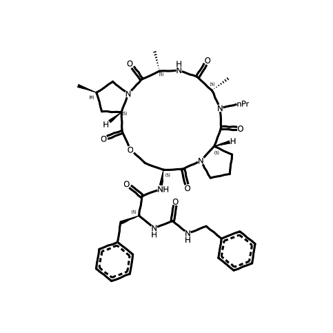 CCCN1C(=O)[C@@H]2CCCN2C(=O)[C@@H](NC(=O)[C@H](Cc2ccccc2)NC(=O)NCc2ccccc2)COC(=O)[C@@H]2C[C@@H](C)CN2C(=O)[C@H](C)NC(=O)[C@@H]1C